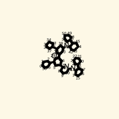 c1ccc(-c2cc(-c3cccc(-n4c5ccccc5c5ccccc54)n3)cc3c2oc2c(-c4ccccc4)cc(-n4c5ccccc5c5ccccc54)cc23)cc1